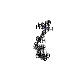 N=C1C(N=O)=CC=C(NCCOCCOCCC(=O)NCCOc2cccc([C@@H](c3ccccc3)C3CCN(C(=O)N4CCC5OCC(=O)N[C@@H]5C4)CC3)c2)/C1=N/O